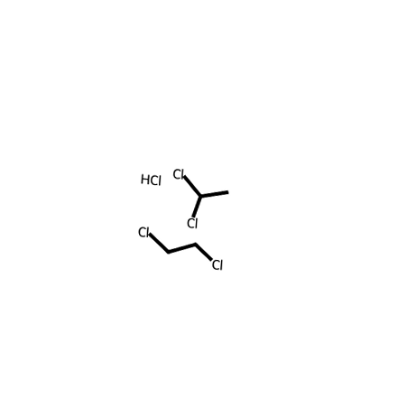 CC(Cl)Cl.Cl.ClCCCl